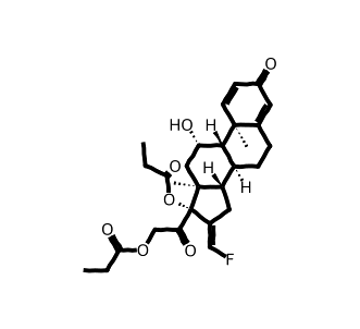 CCC(=O)OCC(=O)[C@]1(OC(=O)CC)C(=CF)C[C@H]2[C@@H]3CCC4=CC(=O)C=C[C@]4(C)[C@H]3[C@@H](O)C[C@@]21C